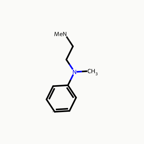 CNCCN(C)c1cc[c]cc1